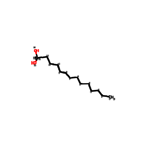 CCCCCCCCCCCCC[SiH](O)O